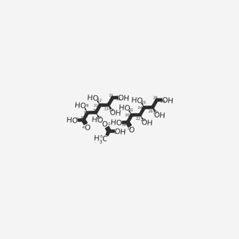 CC(=O)O.O=C(O)[C@H](O)[C@@H](O)[C@H](O)[C@H](O)CO.O=C(O)[C@H](O)[C@@H](O)[C@H](O)[C@H](O)CO